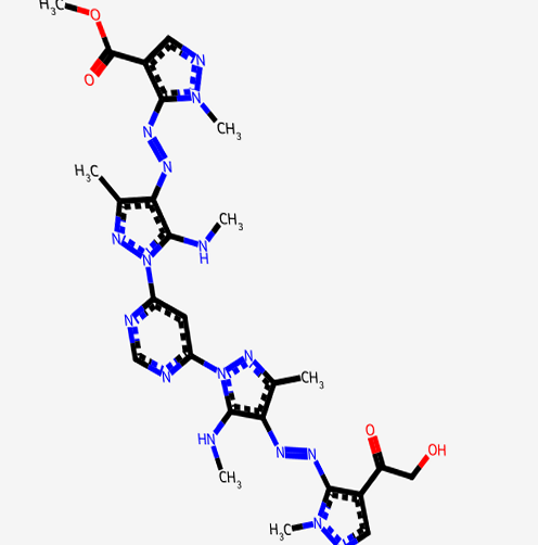 CNc1c(/N=N/c2c(C(=O)CO)cnn2C)c(C)nn1-c1cc(-n2nc(C)c(/N=N/c3c(C(=O)OC)cnn3C)c2NC)ncn1